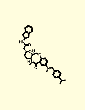 CC(C)c1ccc(CN(C)c2ccc3c(c2)C(=O)N(C)[C@H]2CC[C@@H](CC(=O)NC4Cc5ccccc5C4)O[C@H]2CO3)cc1